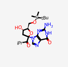 CC(C)C(=O)[C@]1(n2cnc3c(=O)[nH]c(N)nc32)C[C@H](O)[C@@H](CO[Si](C)(C)C(C)(C)C)O1